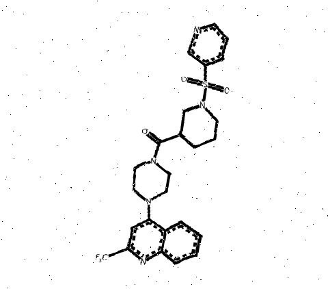 O=C(C1CCCN(S(=O)(=O)c2cccnc2)C1)N1CCN(c2cc(C(F)(F)F)nc3ccccc23)CC1